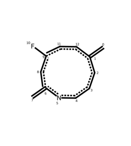 C=c1cccnc(=C)cc(F)cc1